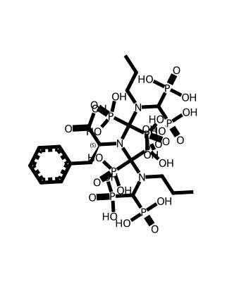 CCCN(C(P(=O)(O)O)P(=O)(O)O)C(N([C@@H](Cc1ccccc1)C(=O)O)C(N(CCC)C(P(=O)(O)O)P(=O)(O)O)(P(=O)(O)O)P(=O)(O)O)(P(=O)(O)O)P(=O)(O)O